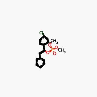 COP(=O)(OC)OC(=Cc1ccccc1)c1ccc(Cl)cc1